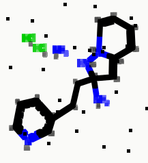 Cl.Cl.N.NC1(CCc2cccnc2)C=C2C=CC=CN2N1